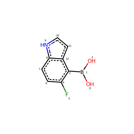 OB(O)c1c(F)ccc2[nH]ccc12